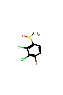 C[S+]([O-])c1ccc(Br)c(Cl)c1Cl